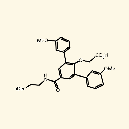 CCCCCCCCCCCCNC(=O)c1cc(-c2cccc(OC)c2)c(OCC(=O)O)c(-c2cccc(OC)c2)c1